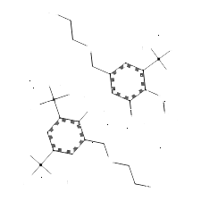 COc1c(C)cc(COCCO)cc1C(C)(C)C.Cc1c(COCCO)cc(C(C)(C)C)cc1C(C)(C)C